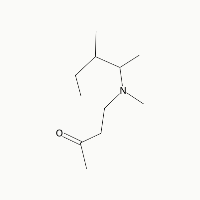 CCC(C)C(C)N(C)CCC(C)=O